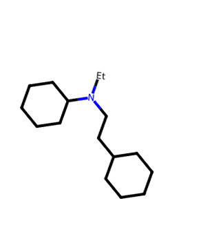 CCN(CCC1CCCCC1)C1CCCCC1